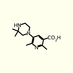 Cc1nc(C)c(N2CCNC(C)(C)C2)cc1C(=O)O